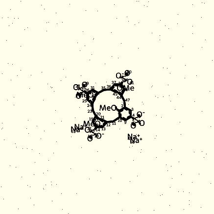 COc1c2cc(S(=O)(=O)[O-])cc1Cc1cc(S(=O)(=O)[O-])cc(c1OC)Cc1cc(S(=O)(=O)[O-])cc(c1OC)Cc1cc(S(=O)(=O)[O-])cc(c1OC)C2.[Na+].[Na+].[Na+].[Na+]